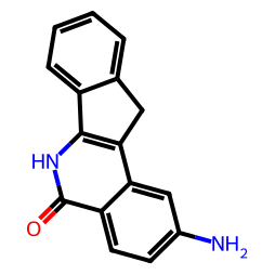 Nc1ccc2c(=O)[nH]c3c(c2c1)Cc1ccccc1-3